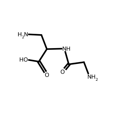 NCC(=O)NC(CN)C(=O)O